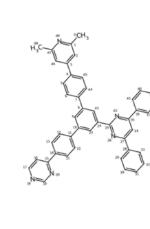 Cc1cc(-c2ccc(-c3cc(-c4ccc(-c5ccncn5)cc4)cc(-c4nc(-c5ccccc5)cc(-c5ccccc5)n4)c3)cc2)cc(C)n1